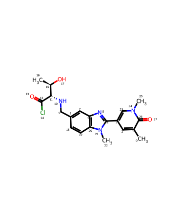 Cc1cc(-c2nc3cc(CN[C@H](C(=O)Cl)[C@@H](C)O)ccc3n2C)cn(C)c1=O